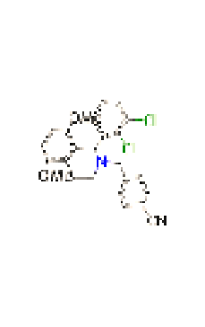 COc1ccc(OC)c2c1CCN(Cc1ccc(C#N)cc1)C2c1cccc(Cl)c1Cl